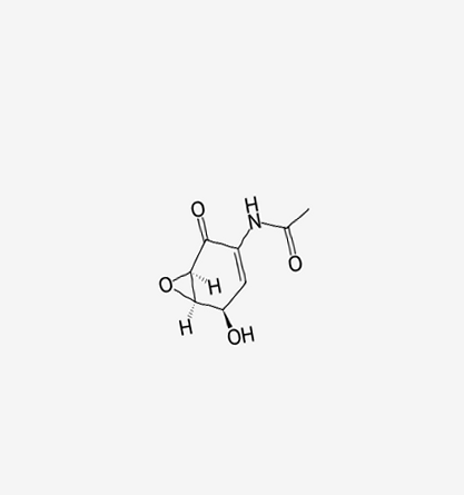 CC(=O)NC1=C[C@@H](O)[C@H]2O[C@H]2C1=O